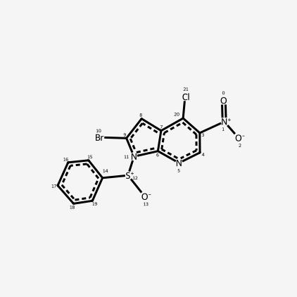 O=[N+]([O-])c1cnc2c(cc(Br)n2[S+]([O-])c2ccccc2)c1Cl